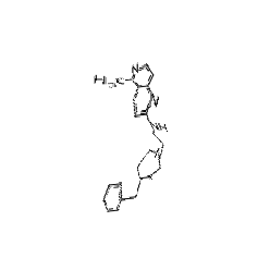 Cc1nccc2nc(NCCN3CCC(Cc4ccccc4)CC3)ccc12